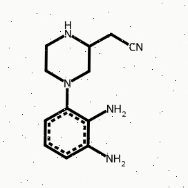 N#CCC1CN(c2cccc(N)c2N)CCN1